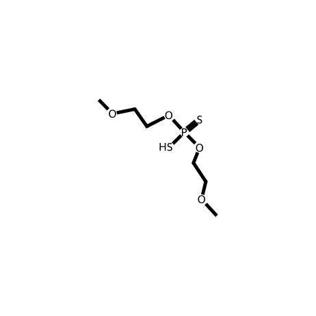 COCCOP(=S)(S)OCCOC